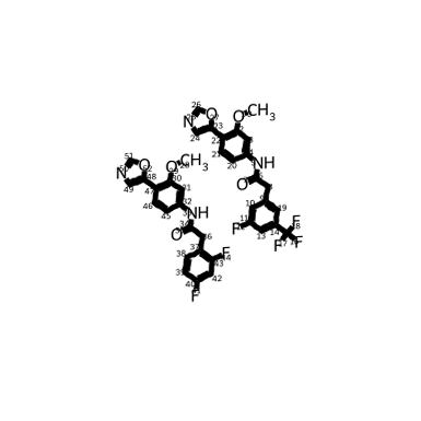 COc1cc(NC(=O)Cc2cc(F)cc(C(F)(F)F)c2)ccc1-c1cnco1.COc1cc(NC(=O)Cc2ccc(F)cc2F)ccc1-c1cnco1